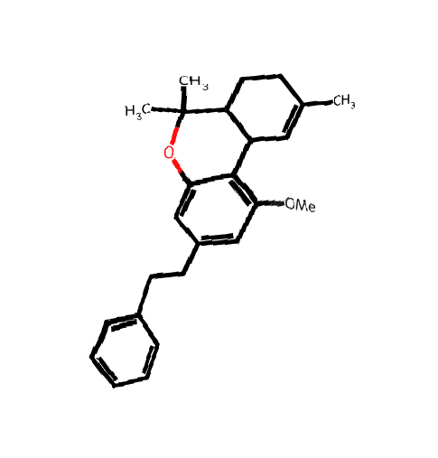 COc1cc(CCc2ccccc2)cc2c1C1C=C(C)CCC1C(C)(C)O2